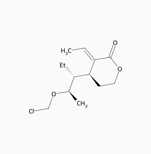 C/C=C1/C(=O)OCC[C@H]1[C@@H](CC)[C@@H](C)OCCl